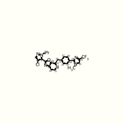 CC(C)n1ncc(Cl)c1-c1nc2ccnc(Cc3ccc(-c4nc(C(F)(F)F)cn4C)cc3)c2o1